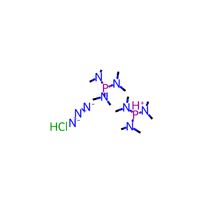 CN(C)P(N(C)C)N(C)C.CN(C)[PH+](N(C)C)N(C)C.Cl.[N-]=[N+]=[N-]